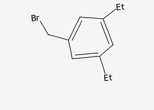 CCc1cc(CC)cc(CBr)c1